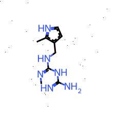 C/N=C(/NCc1cc[nH]c1C)NC(=N)N